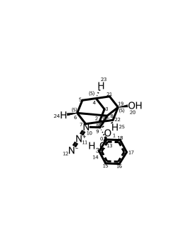 CO[C@@]12C[C@H]3C[C@@H](C1)[C@H]([C@@H](N=[N+]=[N-])c1ccccc1)[C@](O)(C3)C2